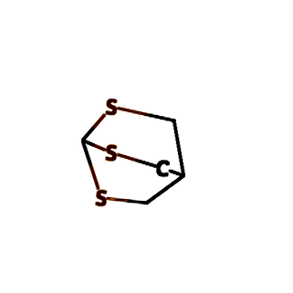 C1SC2SCC1CS2